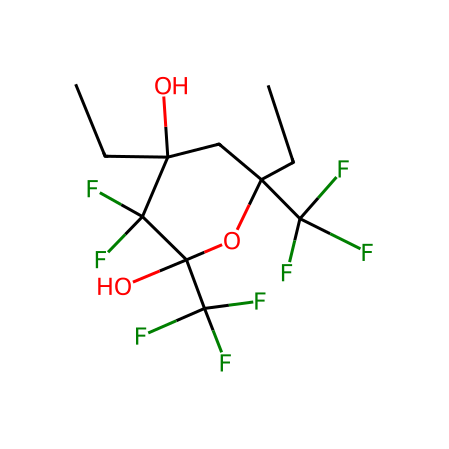 CCC1(O)CC(CC)(C(F)(F)F)OC(O)(C(F)(F)F)C1(F)F